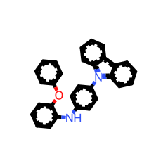 c1ccc(Oc2ccccc2Nc2ccc(-n3c4ccccc4c4ccccc43)cc2)cc1